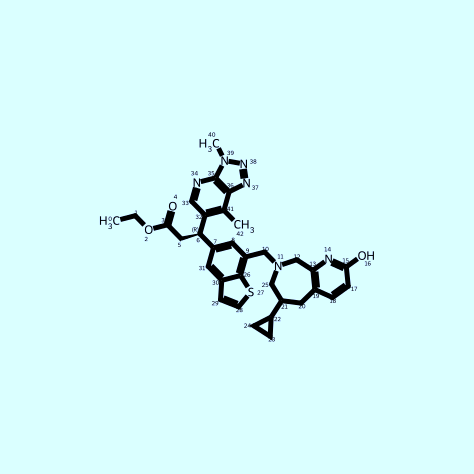 CCOC(=O)C[C@H](c1cc(CN2Cc3nc(O)ccc3CC(C3CC3)C2)c2sccc2c1)c1cnc2c(nnn2C)c1C